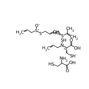 C=C(C)SO.C=CCN(S)[C@H](CS)C(=O)O.C=CCS[S+]([O-])CC=C.NC(CS)C(=O)O